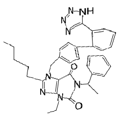 CCCCCc1nc2c(c(=O)n(C(C)c3ccccc3)c(=O)n2CC)n1Cc1ccc(-c2ccccc2-c2nnn[nH]2)cc1